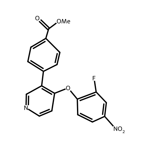 COC(=O)c1ccc(-c2cnccc2Oc2ccc([N+](=O)[O-])cc2F)cc1